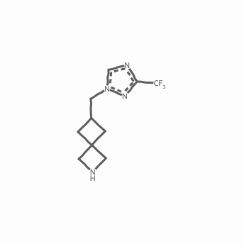 FC(F)(F)c1ncn(CC2CC3(CNC3)C2)n1